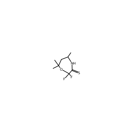 CC1CC(C)(C)OC(F)(F)C(=S)N1